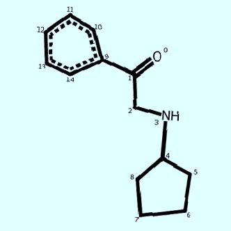 O=C(CNC1CCCC1)c1ccccc1